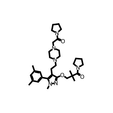 Cc1cc(C)cc(-c2c(CCN3CCN(CC(=O)N4CCCC4)CC3)c(OCC(C)(C)C(=O)N3CCCC3)nn2C)c1